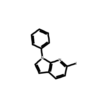 Ic1ccc2ccn(-c3ccccc3)c2n1